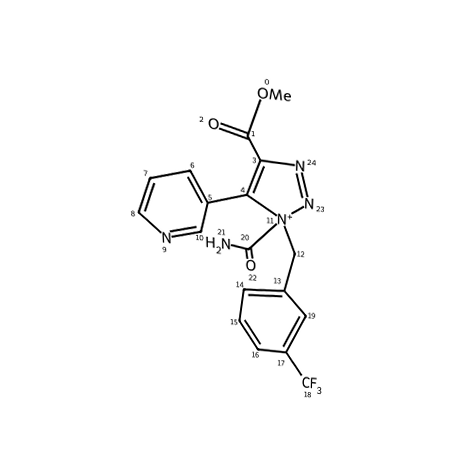 COC(=O)C1=C(c2cccnc2)[N+](Cc2cccc(C(F)(F)F)c2)(C(N)=O)N=N1